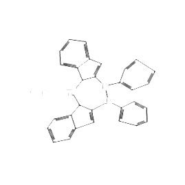 C1=C2[CH]([Ti+2][CH]3C(=Cc4ccccc43)P(c3ccccc3)P2c2ccccc2)c2ccccc21.[F-].[F-]